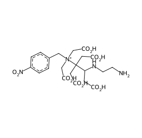 NCCNC(CC(=O)O)C(CC(=O)O)(CC(=O)O)[N+](CC(=O)O)(CC(=O)O)Cc1ccc([N+](=O)[O-])cc1